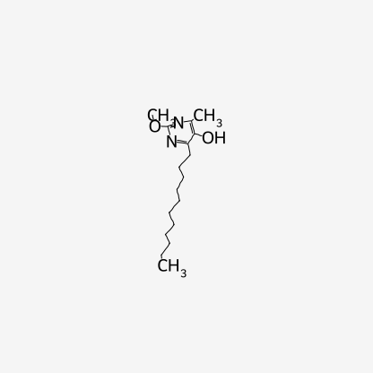 CCCCCCCCCCCc1nc(OC)nc(C)c1O